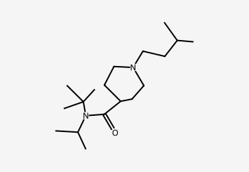 CC(C)CCN1CCC(C(=O)N(C(C)C)C(C)(C)C)CC1